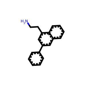 NCCc1cc(-c2ccccc2)cc2ccccc12